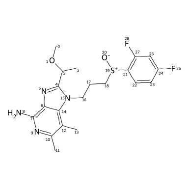 COC(C)c1nc2c(N)nc(C)c(C)c2n1CCC[S+]([O-])c1ccc(F)cc1F